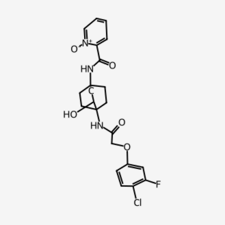 O=C(COc1ccc(Cl)c(F)c1)NC12CCC(NC(=O)c3cccc[n+]3[O-])(CC1)CC2O